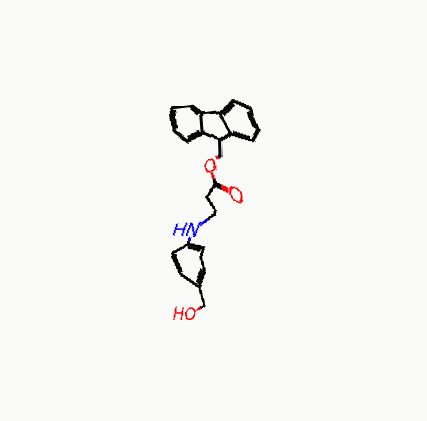 O=C(CCNc1ccc(CO)cc1)OCC1c2ccccc2-c2ccccc21